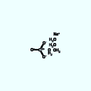 O.O.O.O.[Na+].[O-][Cl+2]([O-])[O-]